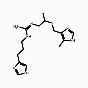 Cc1[nH]cnc1CSC(C)CN=C(N)NCCCc1c[nH]cn1